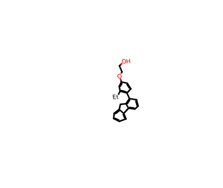 CCc1cc(OCCO)ccc1-c1cccc2c1Cc1ccccc1-2